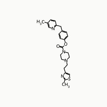 Cc1ccc(Cc2ccc(OC(=O)N3CCN(CCc4csc(C)n4)CC3)cc2)nc1